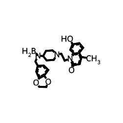 BN(Cc1ccc2c(c1)OCCO2)C1CCN(CCn2c(=O)cc(C)c3ccc(O)cc32)CC1